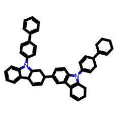 C1=Cc2c(n(C3=CCC(C4=CCCCC4)C=C3)c3ccc(C4C=CC5c6ccccc6N(c6ccc(-c7ccccc7)cc6)C5C4)cc23)CC1